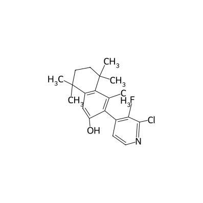 Cc1c(-c2ccnc(Cl)c2F)c(O)cc2c1C(C)(C)CCC2(C)C